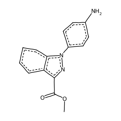 COC(=O)c1nn(-c2ccc(N)cc2)c2ccccc12